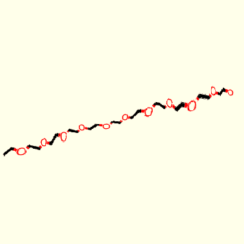 CCOCCOCCOCCOCCOCCOCCOCCOCCOCCOCC=O